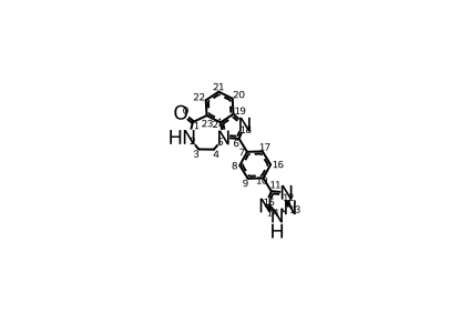 O=C1NCCn2c(-c3ccc(-c4nn[nH]n4)cc3)nc3cccc1c32